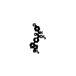 C[C@H](C(=O)Nc1ccc(Cl)cc1)[C@H]1CC[C@H](c2ccnc3c2ncn3C)CC1